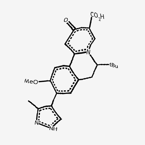 COc1cc2c(cc1-c1c[nH]nc1C)CC(C(C)(C)C)n1cc(C(=O)O)c(=O)cc1-2